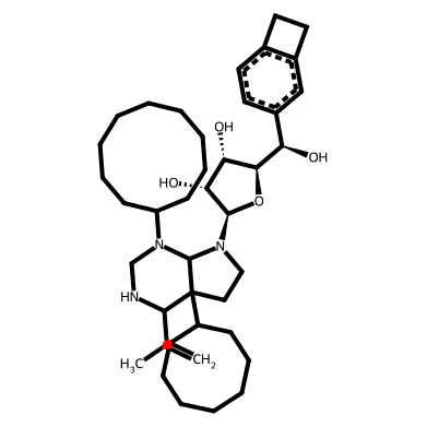 C=C(C)C1NCN(C2CCCCCCCCC2)C2N([C@@H]3O[C@H]([C@H](O)c4ccc5c(c4)CC5)[C@@H](O)[C@H]3O)CCC12C1CCCCCCC1